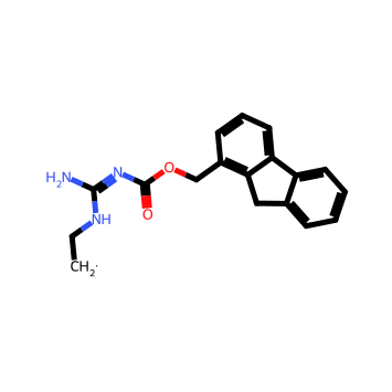 [CH2]CNC(N)=NC(=O)OCc1cccc2c1Cc1ccccc1-2